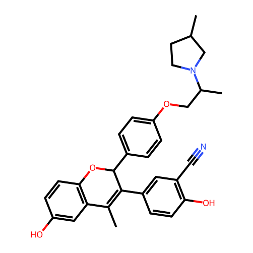 CC1=C(c2ccc(O)c(C#N)c2)C(c2ccc(OCC(C)N3CCC(C)C3)cc2)Oc2ccc(O)cc21